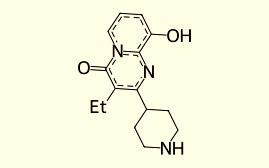 CCc1c(C2CCNCC2)nc2c(O)cccn2c1=O